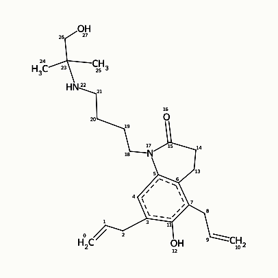 C=CCc1cc2c(c(CC=C)c1O)CCC(=O)N2CCCCNC(C)(C)CO